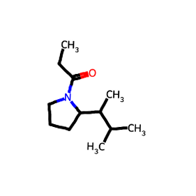 CCC(=O)N1CCCC1C(C)C(C)C